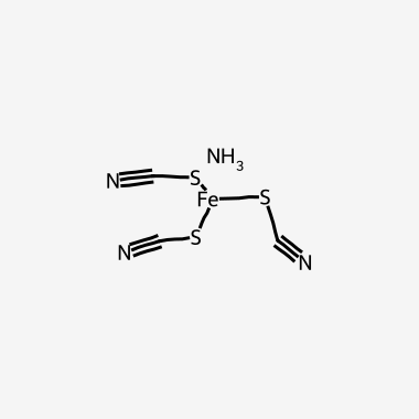 N.N#C[S][Fe]([S]C#N)[S]C#N